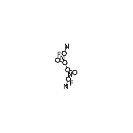 N#Cc1ccc(-n2c3ccccc3c3cc(-c4ccc5c(c4)c4ccccc4n5-c4ccc(C#N)c(F)c4)ccc32)c(F)c1